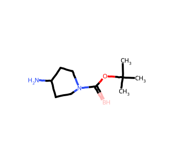 B=C(OC(C)(C)C)N1CCC(N)CC1